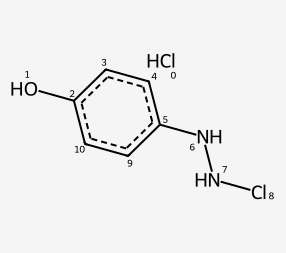 Cl.Oc1ccc(NNCl)cc1